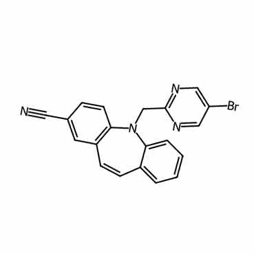 N#Cc1ccc2c(c1)C=Cc1ccccc1N2Cc1ncc(Br)cn1